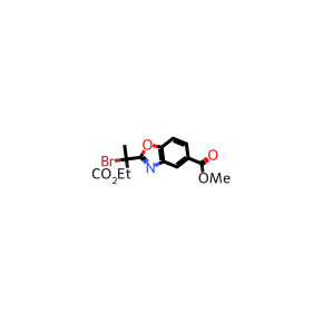 CCOC(=O)C(C)(Br)c1nc2cc(C(=O)OC)ccc2o1